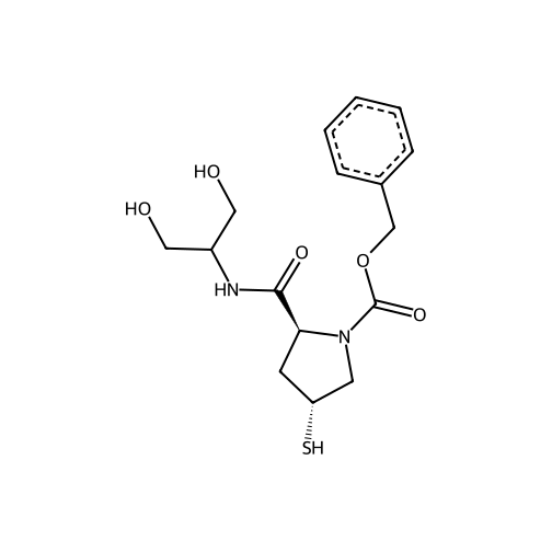 O=C(NC(CO)CO)[C@@H]1C[C@@H](S)CN1C(=O)OCc1ccccc1